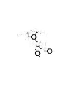 CCCN(CCC)C(=O)c1cc(C(N)=O)cc(C(=O)N[C@@H](Cc2ccc(C)cc2)[C@H](O)CNCc2ccccc2)c1